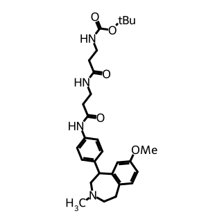 COc1ccc2c(c1)C(c1ccc(NC(=O)CCNC(=O)CCNC(=O)OC(C)(C)C)cc1)CN(C)CC2